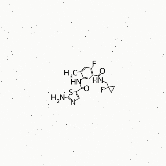 Cc1cc(F)c(C(=O)NCC2(F)CC2)cc1NC(=O)c1cnc(N)s1